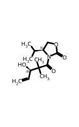 C=C[C@@H](O)C(C)(C)C(=O)N1C(=O)OC[C@@H]1C(C)C